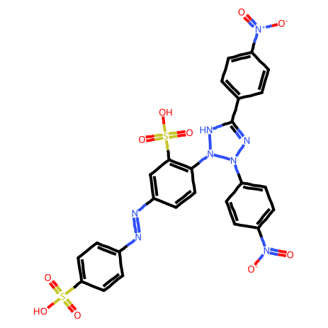 O=[N+]([O-])c1ccc(C2=NN(c3ccc([N+](=O)[O-])cc3)N(c3ccc(N=Nc4ccc(S(=O)(=O)O)cc4)cc3S(=O)(=O)O)N2)cc1